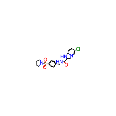 O=C(NCc1ccc(S(=O)(=O)N2CCCC2)cc1)C1=CN2C=C(Cl)C=CC2N1